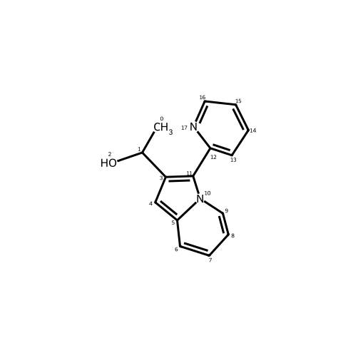 CC(O)c1cc2ccccn2c1-c1ccccn1